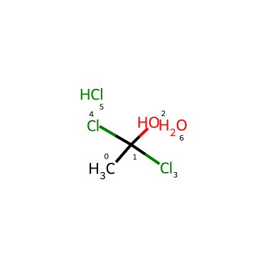 CC(O)(Cl)Cl.Cl.O